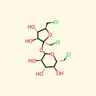 O[C@@H]1[C@@H](O)[C@@H](O[C@]2(CCl)O[C@H](CCl)[C@@H](O)[C@@H]2O)O[C@H](CCl)[C@H]1O